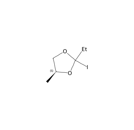 CCC1(I)OC[C@H](C)O1